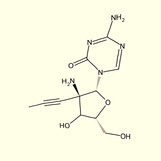 CC#C[C@@]1(N)C(O)[C@@H](CO)O[C@H]1n1cnc(N)nc1=O